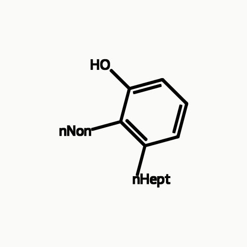 CCCCCCCCCc1c(O)cccc1CCCCCCC